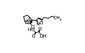 CCCCc1cc(C2=C(Cl)CC3CCC2N3)no1.O=C(O)C(=O)O